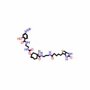 CC1(C(=O)NCCCNC(=O)CCCCC2SCC3NC(=O)NC32)CC/C=C/C(OC(=O)NCCNC(=O)c2ccc(N=[N+]=[N-])cc2O)CC1